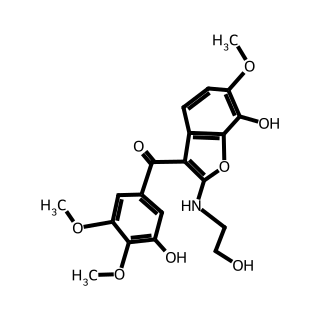 COc1cc(C(=O)c2c(NCCO)oc3c(O)c(OC)ccc23)cc(O)c1OC